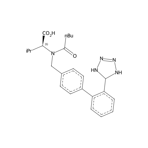 CCCCC(=O)N(Cc1ccc(-c2ccccc2C2NN=NN2)cc1)[C@H](C(=O)O)C(C)C